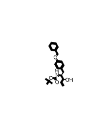 C=C[C@H](O)[C@H](Cc1ccc(OCc2ccccc2)cc1)NC(=O)OC(C)(C)C